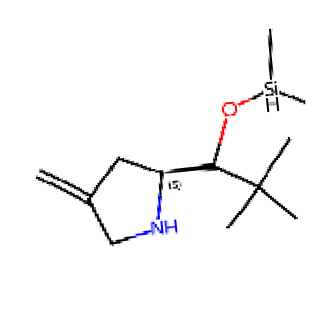 C=C1CN[C@H](C(O[SiH](C)C)C(C)(C)C)C1